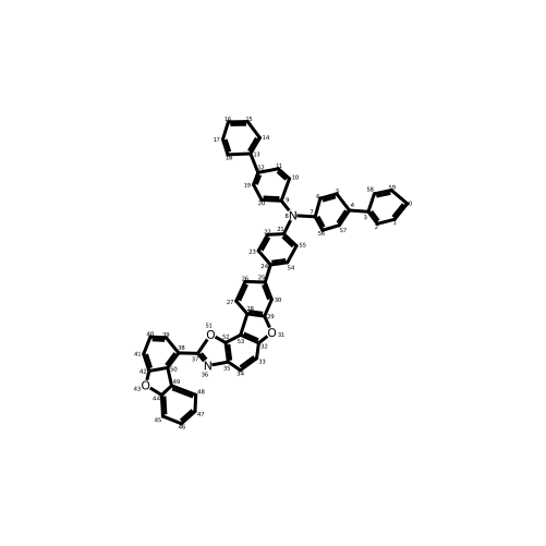 c1ccc(-c2ccc(N(c3ccc(-c4ccccc4)cc3)c3ccc(-c4ccc5c(c4)oc4ccc6nc(-c7cccc8oc9ccccc9c78)oc6c45)cc3)cc2)cc1